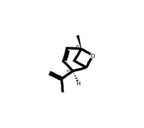 C=C(C)[C@H]1C=C[C@@]2(C)CC1O2